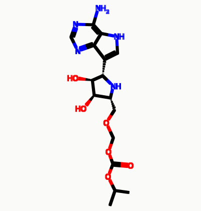 CC(C)OC(=O)OCOC[C@H]1N[C@@H](c2c[nH]c3c(N)ncnc23)[C@H](O)[C@@H]1O